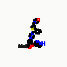 COC(=O)c1ccc(N2CCN(CC3=C(c4cc(CN5CCOCC5)cs4)CC(C)(C)CC3)CC2)cc1Oc1cnc2[nH]ccc2c1